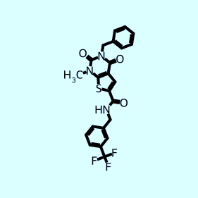 Cn1c(=O)n(Cc2ccccc2)c(=O)c2cc(C(=O)NCc3cccc(C(F)(F)F)c3)sc21